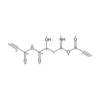 C#CC(=O)OC(=N)CC(O)C(=O)OC(=O)C#C